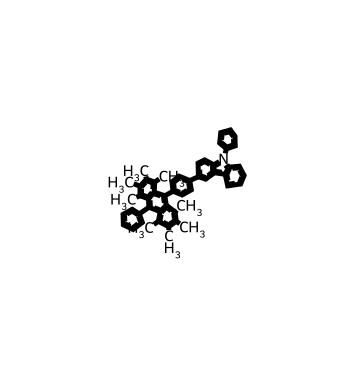 Cc1c(C)c(C)c2c(-c3ccc(-c4ccc5c(c4)c4ccccc4n5-c4ccccc4)cc3)c3c(C)c(C)c(C)c(C)c3c(-c3ccccc3)c2c1C